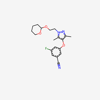 Cc1nn(CCOC2CCCCO2)c(C)c1Oc1cc(F)cc(C#N)c1